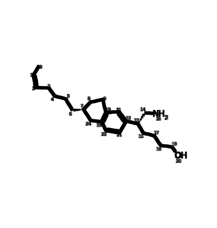 C/C=C\CCCC[C@@H]1CCc2cc([C@H](CN)CCCCO)ccc2C1